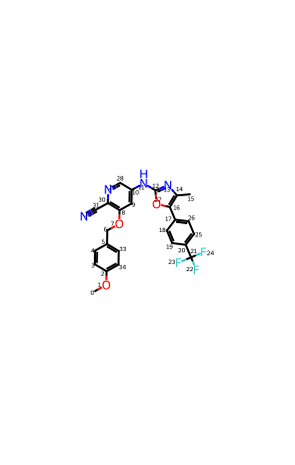 COc1ccc(COc2cc(Nc3nc(C)c(-c4ccc(C(F)(F)F)cc4)o3)cnc2C#N)cc1